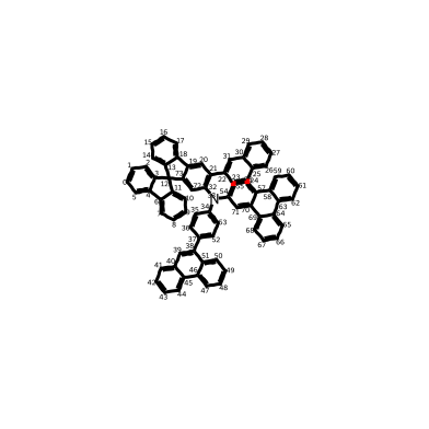 c1ccc2c(c1)-c1ccccc1C21c2ccccc2-c2cc(-c3ccc4ccccc4c3)c(N(c3ccc(-c4cc5ccccc5c5ccccc45)cc3)c3ccc4c5ccccc5c5ccccc5c4c3)cc21